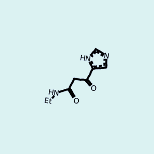 CCNC(=O)CC(=O)c1cnc[nH]1